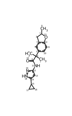 CC1Cc2cc(C(C)(C)C(=O)Nc3cc(C4CC4)[nH]n3)ccc2O1